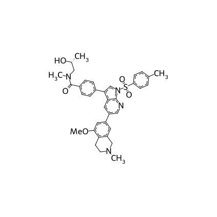 COc1cc(-c2cnc3c(c2)c(-c2ccc(C(=O)N(C)C[C@@H](C)O)cc2)cn3S(=O)(=O)c2ccc(C)cc2)cc2c1CCN(C)C2